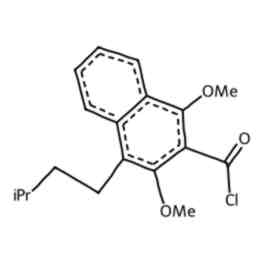 COc1c(C(=O)Cl)c(OC)c2ccccc2c1CCC(C)C